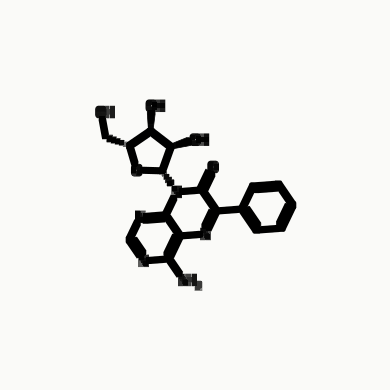 Nc1ncnc2c1nc(-c1ccccc1)c(=O)n2[C@@H]1O[C@H](CO)[C@@H](O)[C@H]1O